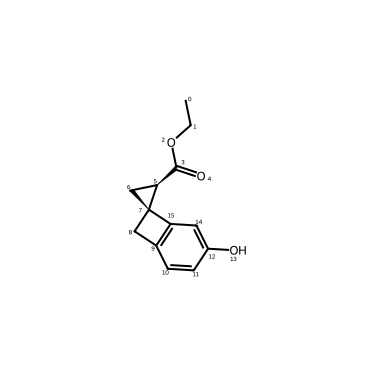 CCOC(=O)[C@@H]1C[C@@]12Cc1ccc(O)cc12